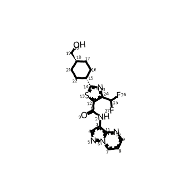 O=C(Nc1cnn2cccnc12)c1sc([C@H]2CC[C@H](CO)CC2)nc1C(F)F